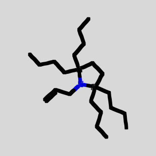 C=CCN1[Si](CCCC)(CCCC)CC[Si]1(CCCC)CCCC